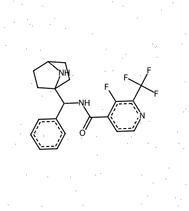 O=C(NC(c1ccccc1)C12CCC(CC1)N2)c1ccnc(C(F)(F)F)c1F